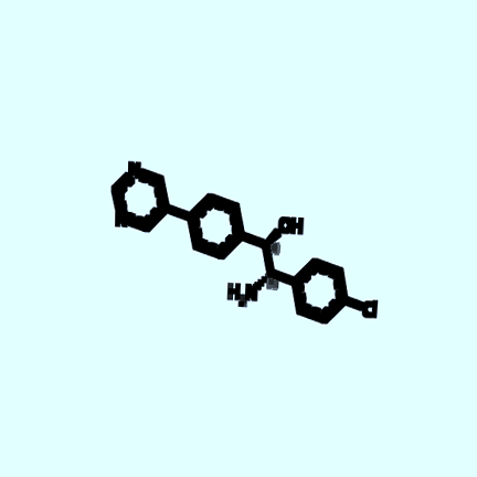 N[C@@H](c1ccc(Cl)cc1)[C@H](O)c1ccc(-c2cncnc2)cc1